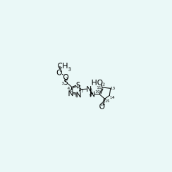 COOSc1nnc(N=NC2=C(O)CCC2=O)s1